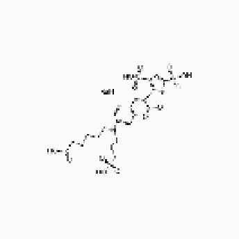 O=C(O)CCCCCN(CCCS(=O)(=O)O)c1ccc2cc(-c3sc(S(=O)(=O)O)cc3S(=O)(=O)O)c(=O)oc2c1.[NaH]